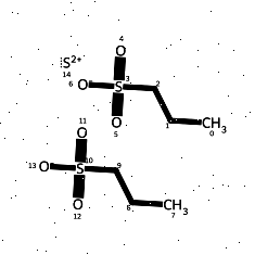 CCCS(=O)(=O)[O-].CCCS(=O)(=O)[O-].[S+2]